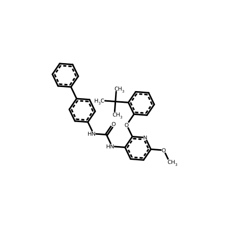 COc1ccc(NC(=O)Nc2ccc(-c3ccccc3)cc2)c(Oc2ccccc2C(C)(C)C)n1